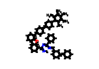 Bc1c(B)c(B)c(-c2ccc(-c3ccc(-c4cccc5c4oc4c(C(/N=C(\N=C\c6cccc(-c7ccccc7)c6)c6ccccc6)=N/C)cccc45)cc3)cc2)c(B)c1B